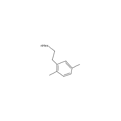 CCCCCCCCc1cc(C)ccc1C